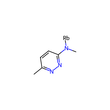 Cc1ccc([N](C)[Rb])nn1